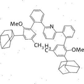 COc1c(-c2ccccc2-c2cccc(-c3ccccc3-c3cc(C)cc(C45CC6CC(CC(C6)C4)C5)c3OC)n2)cc(C)cc1C1C2CC3CC(C2)CC1C3